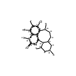 Cc1c(Cl)c2c3c(nc(=O)n(I)c3c1F)N1C(C)CN(C)CC1CCN2C